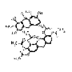 CC(=O)Oc1cc2c(c(OC(C)=O)c1OC(C)=O)[S+]([O-])c1c(ccc(OC(C)=O)c1OC(C)=O)C2.[O-][S+]1c2c(ccc(O)c2O)Cc2cc(O)c(O)c(O)c21